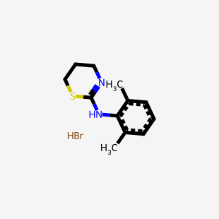 Br.Cc1cccc(C)c1NC1=NCCCS1